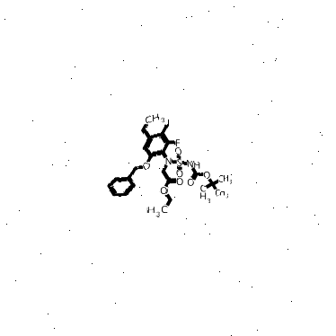 CCOC(=O)CN(c1c(OCc2ccccc2)cc(CC)c(I)c1F)S(=O)(=O)NC(=O)OC(C)(C)C